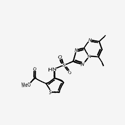 COC(=O)c1sccc1NS(=O)(=O)c1nc2nc(C)cc(C)n2n1